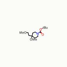 COCCC1(OC)CCN(C(=O)OC(C)(C)C)CC1